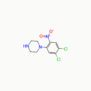 O=[N+]([O-])c1cc(Cl)c(Cl)cc1N1CCNCC1